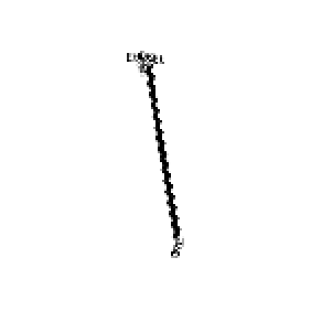 CCO[Si](CCCCCCCCCCCCCCCCCCCCCCCCCCCCCCCCN=C=O)(OCC)OCC